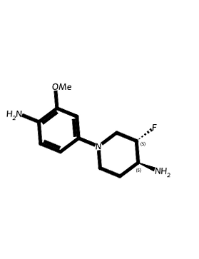 COc1cc(N2CC[C@H](N)[C@@H](F)C2)ccc1N